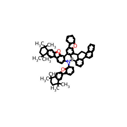 CC1(C)CCC(C)(C)c2cc3c(cc21)oc1c(N2B4c5cccc6c5C(Cc5c-6ccc6ccccc56)c5c4c(cc4c5oc5ccccc54)-c4c2ccc2c4oc4cc5c(cc42)C(C)(C)CCC5(C)C)cccc13